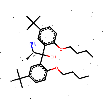 CCCCOc1ccc(C(C)(C)C)cc1C(O)(c1cc(C(C)(C)C)ccc1OCCCC)[C@@H](C)N